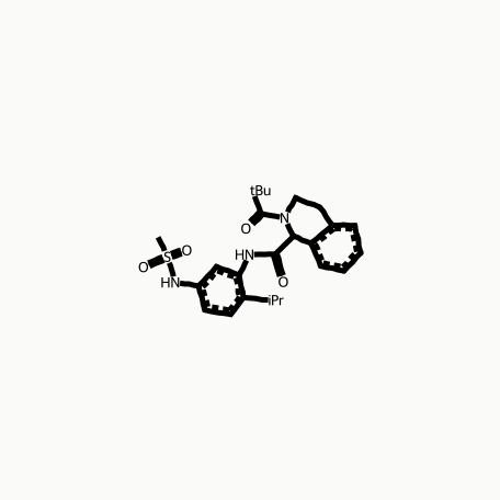 CC(C)c1ccc(NS(C)(=O)=O)cc1NC(=O)C1c2ccccc2CCN1C(=O)C(C)(C)C